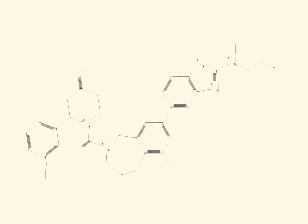 Cc1cc(-c2ccc3[nH]c(NCCF)nc3c2)cc2c1OCCN(C(=O)N1CCC(=O)CC1c1cccc(F)c1)C2